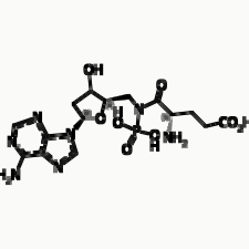 Nc1ncnc2c1ncn2[C@H]1CC(O)[C@@H](CN(C(=O)[C@@H](N)CCC(=O)O)P(=O)(O)O)O1